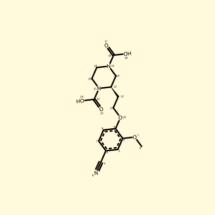 COc1cc(C#N)ccc1OCC[C@@H]1CN(C(=O)O)CCN1C(=O)O